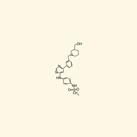 CS(=O)(=O)Nc1ccc(Nc2cc(-c3cccc(CN4CCCC(CO)C4)c3)ncn2)cc1